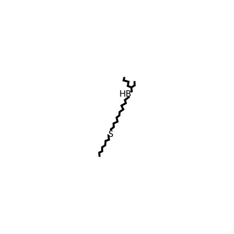 CCCCCCCCSCCCCCCCCCCCCBCC(CC)CCCC